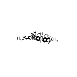 COCC1CN(S(=O)(=O)Nc2ccc(F)c(Nc3ccc4ncn(C)c(=O)c4c3Cl)c2Cl)C1